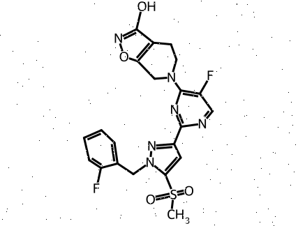 CS(=O)(=O)c1cc(-c2ncc(F)c(N3CCc4c(O)noc4C3)n2)nn1Cc1ccccc1F